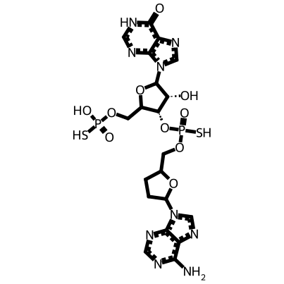 Nc1ncnc2c1ncn2C1CCC(COP(=O)(S)O[C@@H]2C(COP(=O)(O)S)OC(n3cnc4c(=O)[nH]cnc43)[C@@H]2O)O1